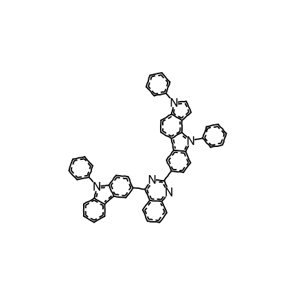 c1ccc(-n2ccc3c2ccc2c4cc(-c5nc(-c6ccc7c(c6)c6ccccc6n7-c6ccccc6)c6ccccc6n5)ccc4n(-c4ccccc4)c23)cc1